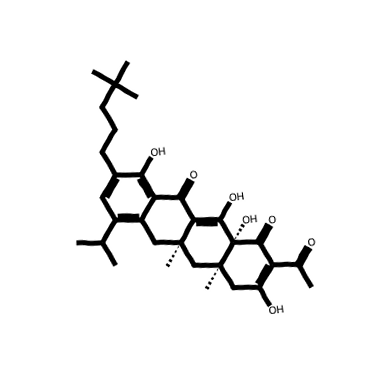 CC(=O)C1=C(O)C[C@@]2(C)C[C@@]3(C)Cc4c(C(C)C)cc(CCCC(C)(C)C)c(O)c4C(=O)C3=C(O)[C@@]2(O)C1=O